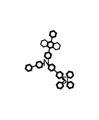 c1ccc(-c2ccc(N(c3ccc(-c4ccc([Si](c5ccccc5)(c5ccccc5)c5ccccc5)cc4)cc3)c3ccc(-c4c5c(c(-c6ccccc6)c6c4CCCC6)CCCC5)cc3)cc2)cc1